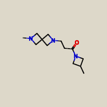 CC1CN(C(=O)CCN2CC3(CN(C)C3)C2)C1